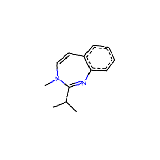 CC(C)C1=Nc2ccccc2C=CN1C